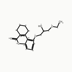 CCOCC(O)COc1cccc2oc(=O)c3c(c12)CCCC3